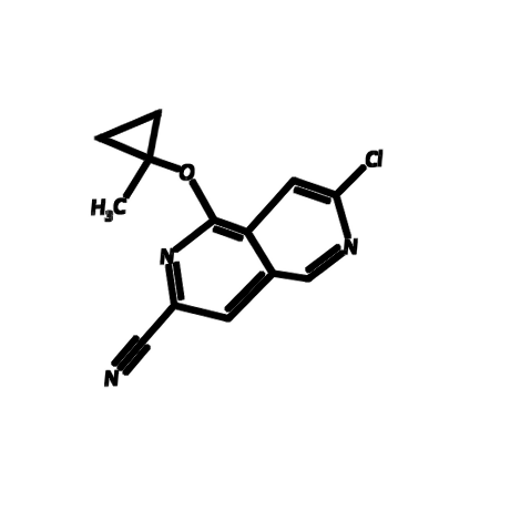 CC1(Oc2nc(C#N)cc3cnc(Cl)cc23)CC1